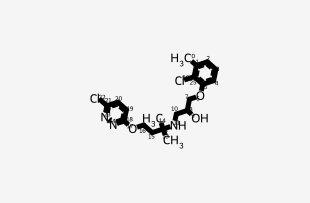 Cc1cccc(OCC(O)CNC(C)(C)CCOc2ccc(Cl)nn2)c1Cl